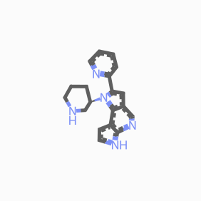 c1ccc(-c2cc3cnc4[nH]ccc4c3n2[C@@H]2CCCNC2)nc1